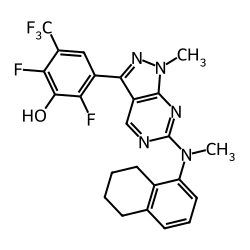 CN(c1ncc2c(-c3cc(C(F)(F)F)c(F)c(O)c3F)nn(C)c2n1)c1cccc2c1CCCC2